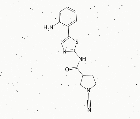 N#CN1CCC(C(=O)Nc2ncc(-c3ccccc3N)s2)C1